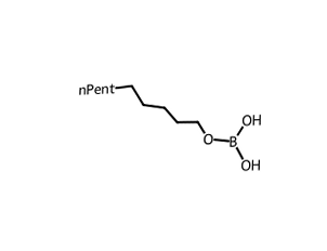 CCCCCCCCCCOB(O)O